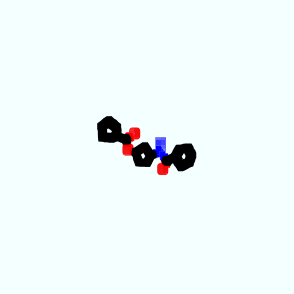 O=C(NC1CCC(OC(=O)c2ccccc2)C1)c1ccccc1